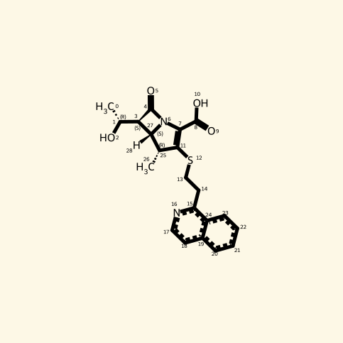 C[C@@H](O)[C@H]1C(=O)N2C(C(=O)O)=C(SCCc3nccc4ccccc34)[C@H](C)[C@H]12